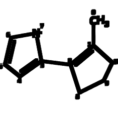 CC1=C(C2=CC=C[N]2)CCC1